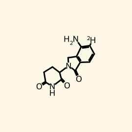 [2H]c1ccc2c(c1N)CN(C1CCC(=O)NC1=O)C2=O